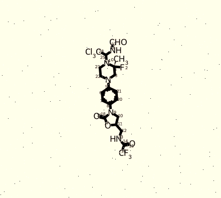 C[C@]1(F)CN(c2ccc(N3CC(CNC(=O)C(F)(F)F)OC3=O)cc2)CCN1C(NC=O)C(Cl)(Cl)Cl